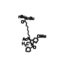 CCCCN(CCCC)C(=O)CCCCCCCN(C(C)=O)c1c(C)n(C(=O)c2ccccc2)c2ccc(OC)cc12